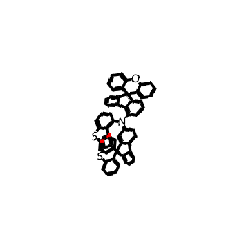 c1ccc2c(c1)Oc1ccccc1C21c2ccccc2-c2c(N(c3ccc4c(c3)C3(c5ccccc5Sc5ccccc53)c3ccccc3-4)c3cccc4sc5ccccc5c34)cccc21